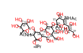 CC(=O)N[C@H]1C(O[C@@H]2OC(C)[C@@H](O)[C@H](O)C2O)[C@H](O[C@@H]2OC(CO)[C@H](O)C(O[C@]3(C(=O)O)C[C@@H](O)[C@@H](NC(C)=O)C([C@H](O)[C@H](O)CO)O3)C2O)C(CO)O[C@H]1OC(C)C